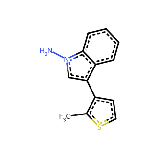 Nn1cc(-c2ccsc2C(F)(F)F)c2ccccc21